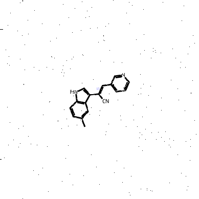 Cc1ccc2[nH]cc(/C(C#N)=C/c3cccnc3)c2c1